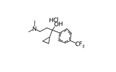 CN(C)CCC(O)(c1ccc(C(F)(F)F)cc1)C1CC1.Cl